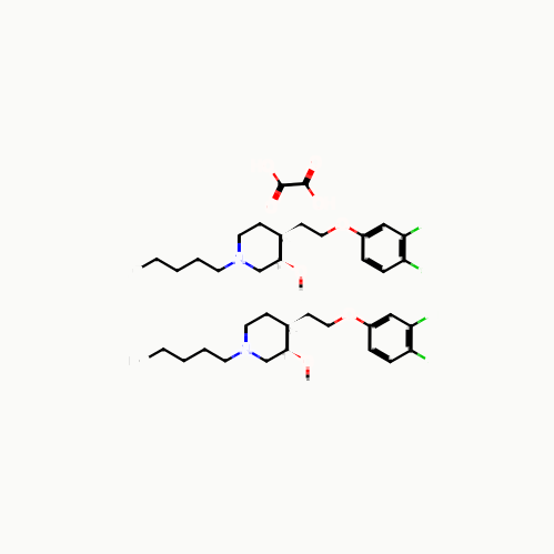 CCCCCN1CC[C@@H](CCOc2ccc(Cl)c(Cl)c2)[C@@H](OC)C1.CCCCCN1CC[C@@H](CCOc2ccc(Cl)c(Cl)c2)[C@@H](OC)C1.O=C(O)C(=O)O